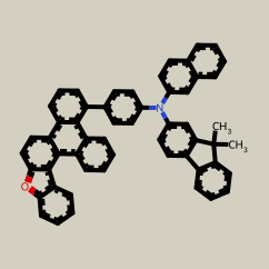 CC1(C)c2ccccc2-c2ccc(N(c3ccc(-c4cccc5c6ccc7oc8ccccc8c7c6c6ccccc6c45)cc3)c3ccc4ccccc4c3)cc21